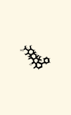 CC1=C2C(=O)c3c(C)ccc(-c4ccccc4)c3C(C)(C)C2(C)CC2(C)CC(C)C(C(C)O)C(C)C12C